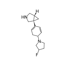 FC1CCN(C2C=CC([C@@]34CNC[C@@H]3C4)=CC2)C1